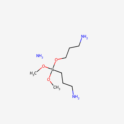 CO[Si](CCCN)(OC)OCCCN.N